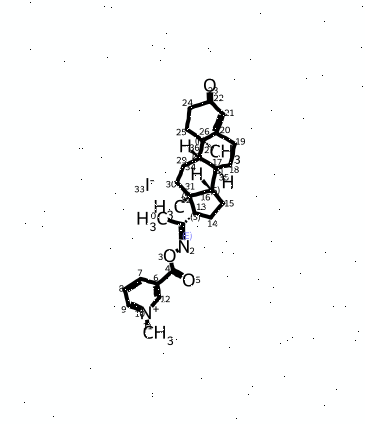 C/C(=N\OC(=O)c1ccc[n+](C)c1)[C@H]1CC[C@H]2[C@@H]3CCC4=CC(=O)CC[C@]4(C)[C@H]3CC[C@]12C.[I-]